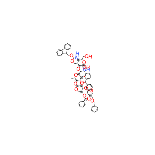 CC(=N)C(O[C@@H]1C(C)[C@@H](NC(=O)OCC2c3ccccc3-c3ccccc32)C(CO)O[C@@H]1O)[C@@H]1OC(C)[C@H](O[C@@H]2OC[C@@H](C)C(O[C@@H]3OC[C@@]4(COCc5ccccc5)O[C@@H](c5ccccc5)OC34)[C@H]2OCc2ccccc2)C(OCc2ccccc2)[C@@H]1C